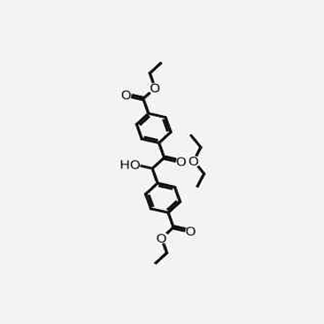 CCOC(=O)c1ccc(C(=O)C(O)c2ccc(C(=O)OCC)cc2)cc1.CCOCC